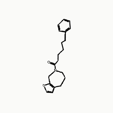 O=C(CCCCCc1ccccc1)N1CCCc2ccoc2C1